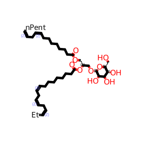 CC/C=C\C/C=C\C/C=C\CCCCCCCC(=O)O[C@H](COC(=O)CCCCCCC/C=C\C/C=C\CCCCC)CO[C@@H]1O[C@H](CO)[C@H](O)C(O)C1O